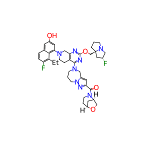 CCc1c(F)ccc2cc(O)cc(N3CCc4c(nc(OC[C@@]56CCCN5C[C@H](F)C6)nc4N4CCCn5nc(C(=O)N6CC[C@H]7C[C@@H]6CO7)cc5C4)C3)c12